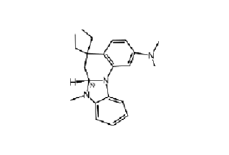 CCC1(CC)C[C@H]2N(C)c3ccccc3N2c2cc(N(C)C)ccc21